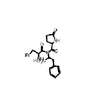 CC(C)CC(N)C(=O)N(C(=O)C1CCC(=O)N1)C(Cc1ccccc1)C(=O)O